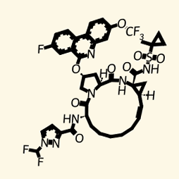 CC1(S(=O)(=O)NC(=O)[C@@]23C[C@H]2/C=C\CCCCC[C@H](NC(=O)c2ccn(C(F)F)n2)C(=O)N2C[C@H](Oc4nc5cc(OC(F)(F)F)ccc5c5ccc(F)cc45)C[C@H]2C(=O)N3)CC1